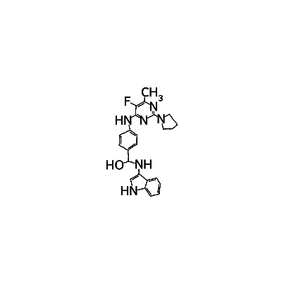 Cc1nc(N2CCCC2)nc(Nc2ccc(C(O)Nc3c[nH]c4ccccc34)cc2)c1F